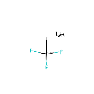 [CH2]C(F)(F)F.[LiH]